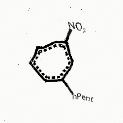 [CH]CCCCc1cccc([N+](=O)[O-])c1